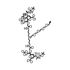 C#CCOCCOCCOCCOCCN(CCCCNC(=O)CO[C@@H]([C@@H]1OC(C(=O)OC)=C[C@H](N/C(C)=N\C(=O)OC(C)(C)C)[C@H]1C)[C@H]1COC(=O)O1)CCCCNC(=O)CO[C@@H]([C@@H]1OC(C(=O)OC)=C[C@H](NC(=C)NC(=O)OC(C)(C)C)[C@H]1NC(C)=O)[C@H]1COC(=O)O1